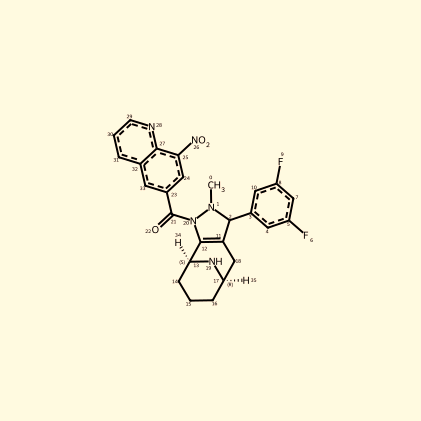 CN1C(c2cc(F)cc(F)c2)C2=C([C@@H]3CCC[C@H](C2)N3)N1C(=O)c1cc([N+](=O)[O-])c2ncccc2c1